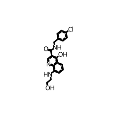 O=C(NCc1ccc(Cl)cc1)c1cnc2c(NCCO)cccc2c1O